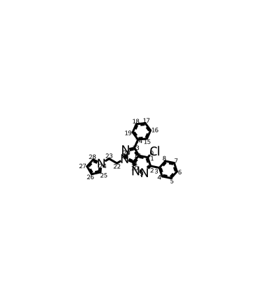 Clc1c(-c2ccccc2)nnc2c1c(-c1ccccc1)nn2CCn1cccc1